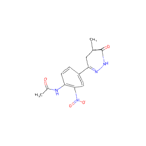 CC(=O)Nc1ccc(C2=NNC(=O)C(C)C2)cc1[N+](=O)[O-]